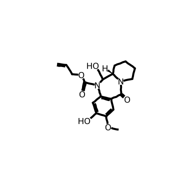 C=CCOC(=O)N1c2cc(O)c(OC)cc2C(=O)N2CCCC[C@H]2C1O